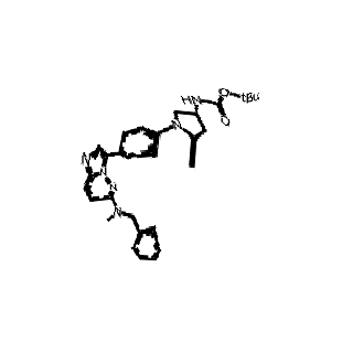 C=C1C[C@H](NC(=O)OC(C)(C)C)CN1c1ccc(-c2cnc3ccc(N(C)Cc4ccccc4)nn23)cc1